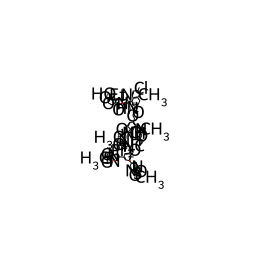 C=CCOC(=O)N(C)Cc1cc(NC(=O)[C@H](C)NC(=O)[C@@H](NC(=O)c2cc(-c3cnc(S(C)(=O)=O)nc3)cc(-c3cnc(S(C)(=O)=O)nc3)c2)C(C)C)ccc1COC(=O)N[C@H]1CCc2c(C)c(Cl)cc3nc4c(c1c23)Cn1c-4cc2c(c1=O)COC(=O)[C@]2(O)CC